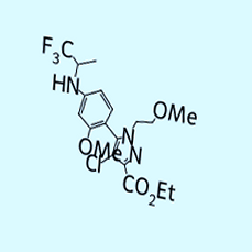 CCOC(=O)c1nn(CCOC)c(-c2ccc(NC(C)C(F)(F)F)cc2OC)c1Cl